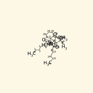 CCCCCC(=O)N(N)C1([C@](CC(C)C)(C(=O)O)N(N)C(=O)CCCCC)CCCCC1